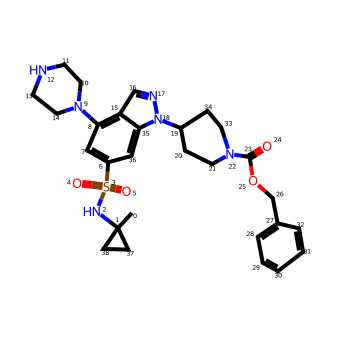 CC1(NS(=O)(=O)c2cc(N3CCNCC3)c3cnn(C4CCN(C(=O)OCc5ccccc5)CC4)c3c2)CC1